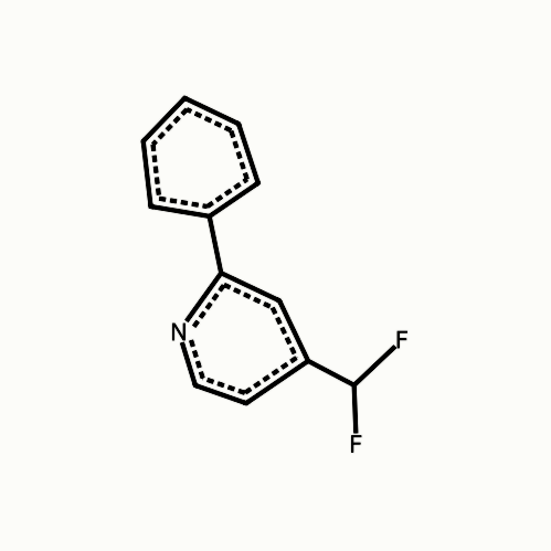 FC(F)c1ccnc(-c2ccccc2)c1